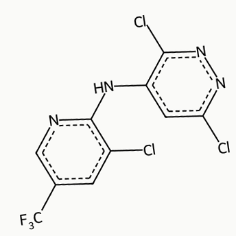 FC(F)(F)c1cnc(Nc2cc(Cl)nnc2Cl)c(Cl)c1